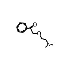 CN(C)CCOCC(=O)c1ccccc1